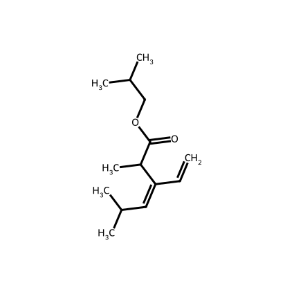 C=CC(=CC(C)C)C(C)C(=O)OCC(C)C